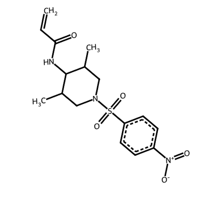 C=CC(=O)NC1C(C)CN(S(=O)(=O)c2ccc([N+](=O)[O-])cc2)CC1C